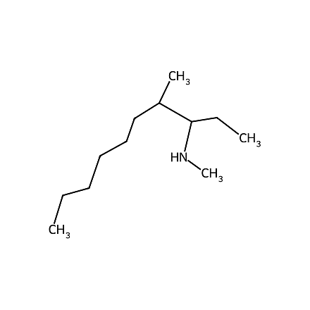 CCCCCCC(C)C(CC)NC